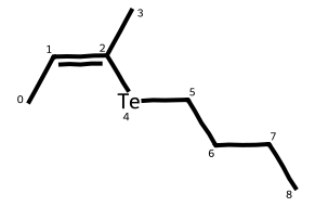 CC=C(C)[Te]CCCC